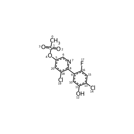 CS(=O)(=O)Oc1cnc(-c2cc(O)c(Cl)cc2F)c(Cl)c1